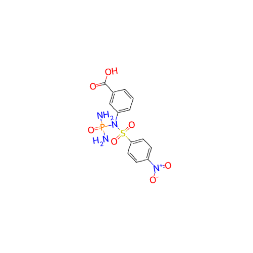 NP(N)(=O)N(c1cccc(C(=O)O)c1)S(=O)(=O)c1ccc([N+](=O)[O-])cc1